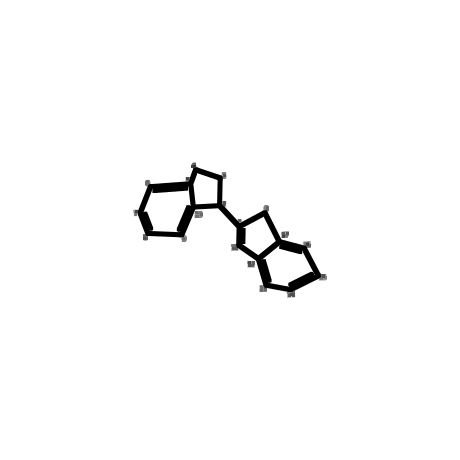 [CH]1C(C2CCc3ccccc32)=Cc2ccccc21